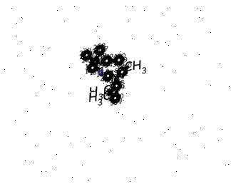 Cc1ccc(N(c2ccc(/C=C/c3cccc4c(-c5ccccc5)c(-c5ccccc5)n(-c5ccc(-c6ccccc6)cc5)c34)cc2)c2ccc3c(c2)C(C)(C)c2ccccc2-3)cc1